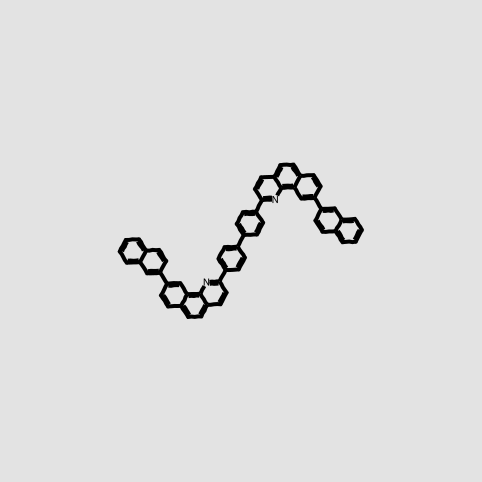 c1ccc2cc(-c3ccc4ccc5ccc(-c6ccc(-c7ccc(-c8ccc9ccc%10ccc(-c%11ccc%12ccccc%12c%11)cc%10c9n8)cc7)cc6)nc5c4c3)ccc2c1